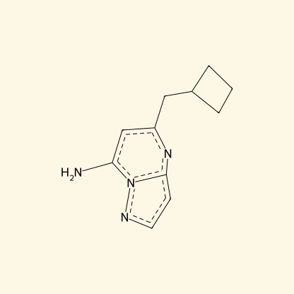 Nc1cc(CC2CCC2)nc2ccnn12